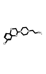 NCCN1CCN(C2COc3ccc(Cl)cc3O2)CC1